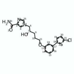 NC(=O)c1cn(C[C@@H](O)CCCOc2cccc(-c3ccc(Cl)s3)c2)cn1